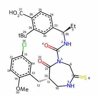 CC[C@@H](NC(=O)N1CC(=S)NC[C@H](Cc2cc(Cl)ccc2OC)C1=O)c1ccc(C(=O)O)c(C(C)(C)C)c1